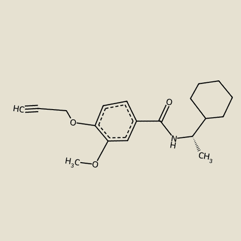 C#CCOc1ccc(C(=O)N[C@@H](C)C2CCCCC2)cc1OC